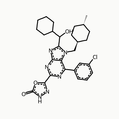 C[C@H]1CC[C@H](Cn2c(C(O)C3CCCCC3)nc3nc(-c4n[nH]c(=O)o4)nc(-c4cccc(Cl)c4)c32)CC1